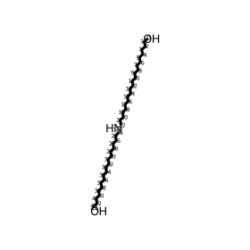 OCCCCCCCCCCCCCCCCCCCCCCNCCCCCCCCCCCCCCCCCCCCO